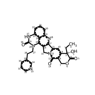 CC[C@@]1(O)C(=O)OCc2c1cc1n(c2=O)Cc2c-1nc1cccc3c1c2N(CCc1cccnc1)C(=O)N3